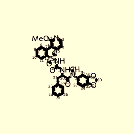 COc1ncccc1-c1ccccc1S(=O)(=O)NC(=O)NC(Cc1ccccc1)C(=O)N(C)c1ccc2c(c1)OCO2